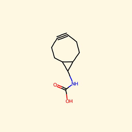 O=C(O)NC1C2CCC#CCCC21